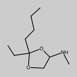 CCCCC1(CC)OCC(NC)O1